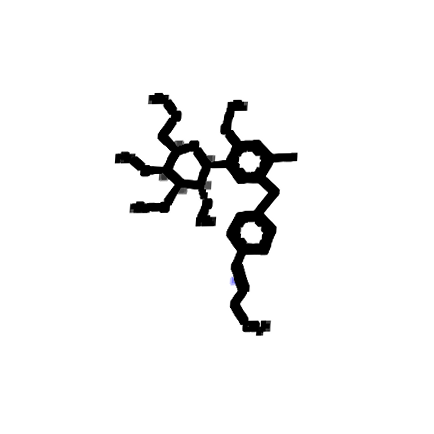 CCCCOC[C@H]1O[C@@H](c2cc(Cc3ccc(/C=C/CC(=O)O)cc3)c(C)cc2OCCCC)[C@H](OCCCC)[C@@H](OCCCC)[C@H]1OCCCC